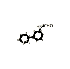 O=CNc1cccc(-c2cccnc2)c1